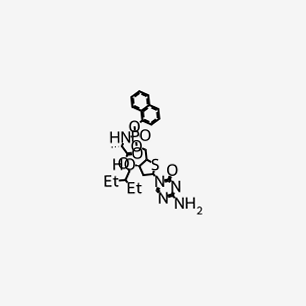 CCC(CC)COC(=O)[C@H](C)NP(=O)(OCC1SC(n2cnc(N)nc2=O)C[C@H]1O)Oc1cccc2ccccc12